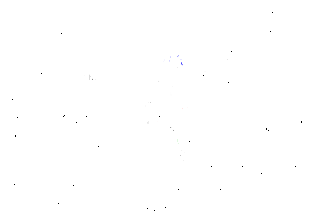 CCCCCCCCCCCC(=O)OC(=O)[C@@H](N)CC(=O)O.Cl.[Na+].[Zn+2]